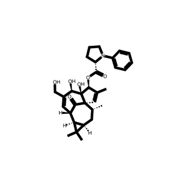 CC1=C[C@]23C(=O)[C@@H](C=C(CO)[C@@H](O)[C@]2(O)[C@H]1OC(=O)[C@@H]1CCCN1c1ccccc1)[C@H]1[C@@H](C[C@H]3C)C1(C)C